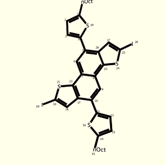 CCCCCCCCc1ccc(-c2cc3c(cc(-c4ccc(CCCCCCCC)s4)c4cc(I)sc43)c3sc(I)cc23)s1